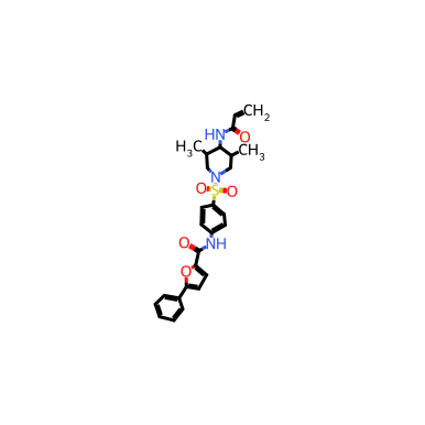 C=CC(=O)NC1C(C)CN(S(=O)(=O)c2ccc(NC(=O)c3ccc(-c4ccccc4)o3)cc2)CC1C